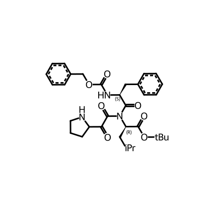 CC(C)C[C@H](C(=O)OC(C)(C)C)N(C(=O)C(=O)C1CCCN1)C(=O)[C@H](Cc1ccccc1)NC(=O)OCc1ccccc1